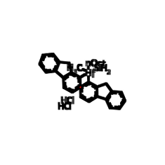 CCCCCCC[CH2][Hf]([CH3])(=[SiH2])([c]1cccc2c1Cc1ccccc1-2)[c]1cccc2c1Cc1ccccc1-2.Cl.Cl